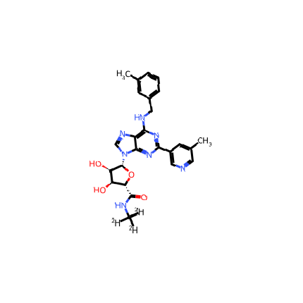 [2H]C([2H])([2H])NC(=O)[C@H]1O[C@@H](n2cnc3c(NCc4cccc(C)c4)nc(-c4cncc(C)c4)nc32)[C@H](O)[C@@H]1O